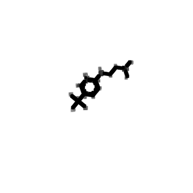 CN(C)CCOc1ccc(C(C)(C)C)cn1